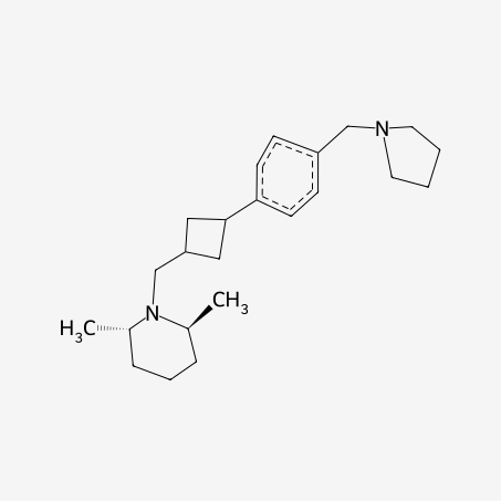 C[C@H]1CCC[C@H](C)N1CC1CC(c2ccc(CN3CCCC3)cc2)C1